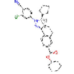 N#Cc1ccc(N2N=C3c4ccc(C(=O)OC5CCCCC5)cc4CC[C@@H]3[C@@H]2C2CCCC2)cc1Cl